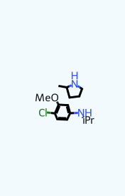 CC1CCCN1.COc1cc(NC(C)C)ccc1Cl